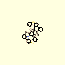 CC(C)c1c(C#N)c(C2Cc3c(ccc4sc5ccccc5c34)-c3ccccc3C2C)c(C#N)c(C(C)C)c1-n1c2ccccc2c2ccc3sc4ccccc4c3c21